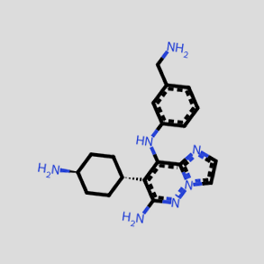 NCc1cccc(Nc2c3nccn3nc(N)c2[C@H]2CC[C@H](N)CC2)c1